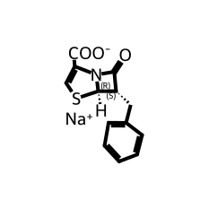 O=C([O-])C1=CS[C@@H]2[C@@H](Cc3ccccc3)C(=O)N12.[Na+]